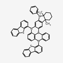 CC12CCCCC1(C)N(c1ccccc1)c1cc3c(cc12)B1c2ccccc2N(c2cccc4c2sc2ccccc24)c2cccc(c21)N3c1cccc2c1sc1ccccc12